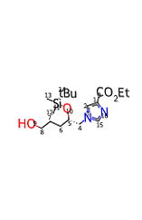 CCOC(=O)c1cn(C[C@H](CCCO)O[Si](C)(C)C(C)(C)C)cn1